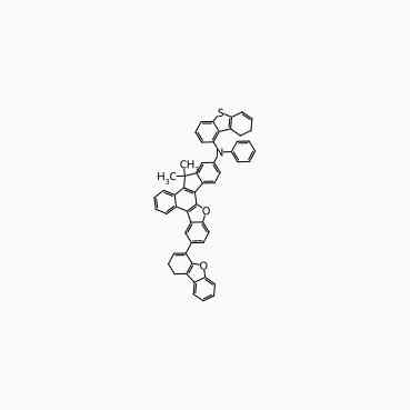 CC1(C)c2cc(N(c3ccccc3)c3cccc4sc5c(c34)CCC=C5)ccc2-c2c1c1ccccc1c1c2oc2ccc(C3=CCCc4c3oc3ccccc43)cc21